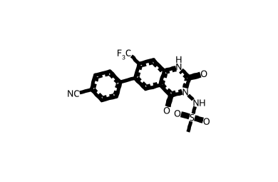 CS(=O)(=O)Nn1c(=O)[nH]c2cc(C(F)(F)F)c(-c3ccc(C#N)cc3)cc2c1=O